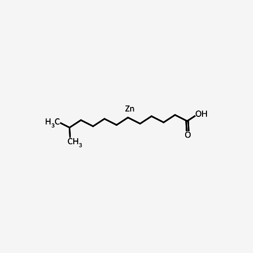 CC(C)CCCCCCCCCC(=O)O.[Zn]